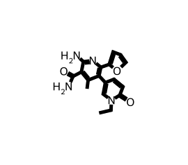 CCn1cc(-c2c(-c3ccco3)nc(N)c(C(N)=O)c2C)ccc1=O